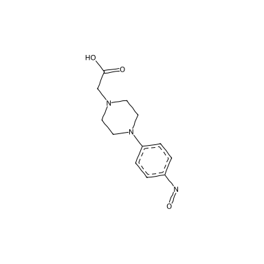 O=Nc1ccc(N2CCN(CC(=O)O)CC2)cc1